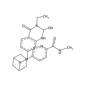 CCN1C(=O)c2ccc(CN3C4CC3CN(c3ccc(C(=O)NC)nc3)C4)cc2NC1O